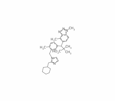 Cc1ccc(C(c2ccc3c(nnn3C)c2C)C(C)(C)C(=O)O)cc1Cn1ccnc1CC1CCCCC1